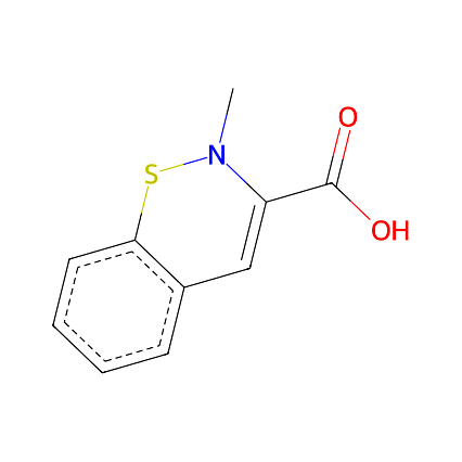 CN1Sc2ccccc2C=C1C(=O)O